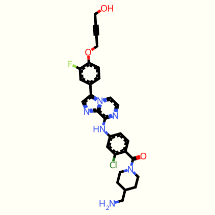 NCC1CCN(C(=O)c2ccc(Nc3nccn4c(-c5ccc(OCC#CCO)c(F)c5)cnc34)cc2Cl)CC1